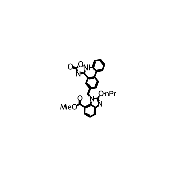 CCCOc1nc2cccc(C(=O)OC)c2n1Cc1ccc(-c2ccccc2)c(-c2nc(=O)o[nH]2)c1